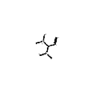 C=CC(N(C)C)N(C)C